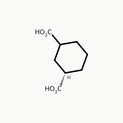 O=C(O)C1CCC[C@H](C(=O)O)C1